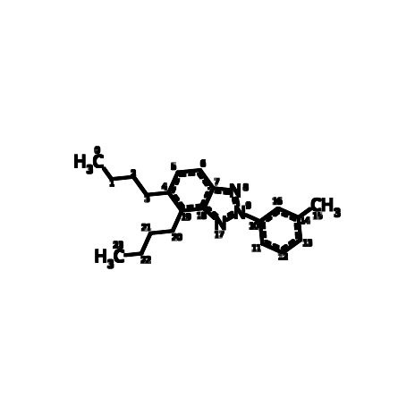 CCCCc1ccc2nn(-c3cccc(C)c3)nc2c1CCCC